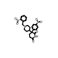 O=C1CCC(c2ccc([N+](=O)[O-])cc2)(C2CCN(Cc3ccccc3[N+](=O)[O-])CC2)C(=O)N1